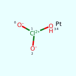 [O-][Cl+2]([O-])O.[Pt]